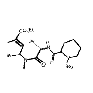 CCOC(=O)/C(C)=C/[C@H](C(C)C)N(C)C(=O)[C@@H](NC(=O)C1CCCCN1C(C)CC)C(C)C